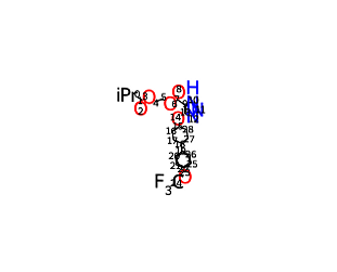 CC(C)C(=O)OCCOC(=O)c1[nH]nnc1OC1CCC(c2ccc(OC(F)(F)F)cc2)CC1